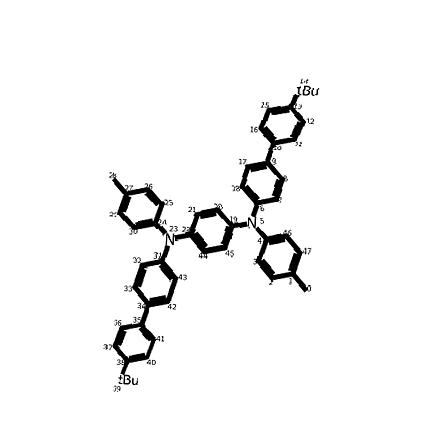 Cc1ccc(N(c2ccc(-c3ccc(C(C)(C)C)cc3)cc2)c2ccc(N(c3ccc(C)cc3)c3ccc(-c4ccc(C(C)(C)C)cc4)cc3)cc2)cc1